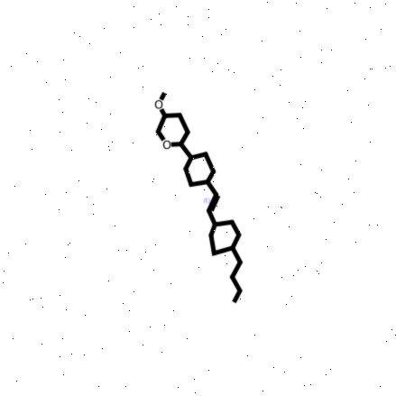 CCCCC1CCC(/C=C/C2CCC(C3CCC(OC)CO3)CC2)CC1